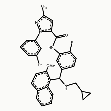 CCc1cccc(-n2nc(C(F)(F)F)cc2C(=O)Nc2cc(C(NCC3CC3)c3c(OC)ccc4ccccc34)ccc2F)c1